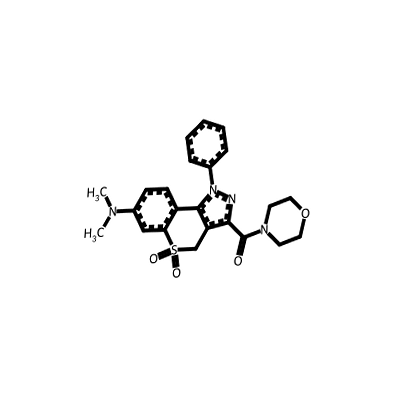 CN(C)c1ccc2c(c1)S(=O)(=O)Cc1c(C(=O)N3CCOCC3)nn(-c3ccccc3)c1-2